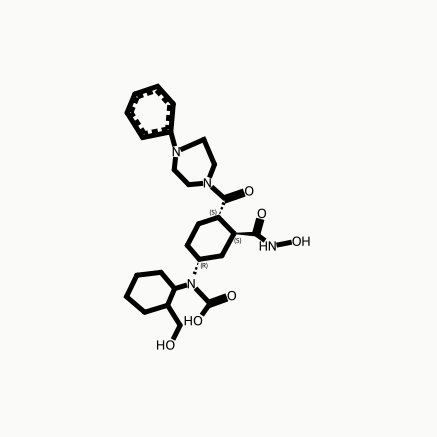 O=C(NO)[C@H]1C[C@H](N(C(=O)O)C2CCCCC2CO)CC[C@@H]1C(=O)N1CCN(c2ccccc2)CC1